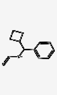 O=CNC(c1ccccc1)C1CCC1